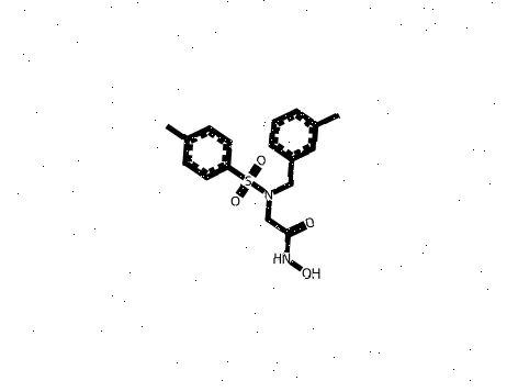 Cc1ccc(S(=O)(=O)N(CC(=O)NO)Cc2cccc(C)c2)cc1